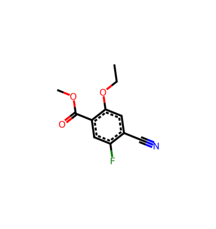 CCOc1cc(C#N)c(F)cc1C(=O)OC